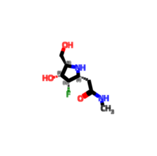 CNC(=O)C[C@H]1N[C@H](CO)[C@@H](O)[C@H]1F